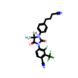 CC1(C)C(=O)N(c2ccc(C#N)c(C(F)(F)F)c2F)C(=S)N1c1ccc(CCCC#N)cc1